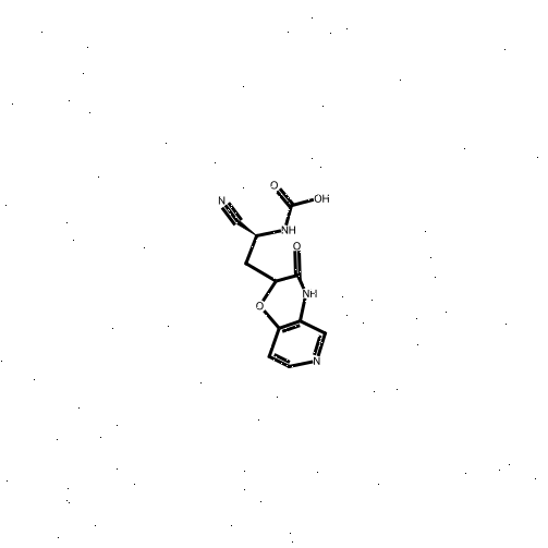 N#C[C@H](CC1Oc2ccncc2NC1=O)NC(=O)O